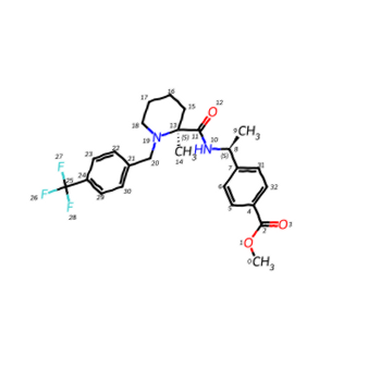 COC(=O)c1ccc([C@H](C)NC(=O)[C@]2(C)CCCCN2Cc2ccc(C(F)(F)F)cc2)cc1